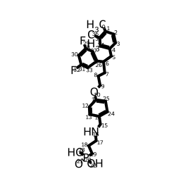 Cc1ccc(CC(CCCOc2ccc(CNCCCP(=O)(O)O)cc2)c2cc(F)cc(F)c2)cc1C